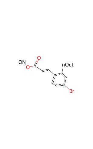 CCCCCCCCc1cc(Br)ccc1/C=C/C(=O)ON=O